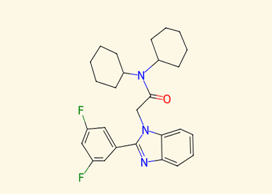 O=C(Cn1c(-c2cc(F)cc(F)c2)nc2ccccc21)N(C1CCCCC1)C1CCCCC1